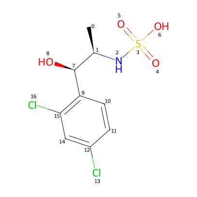 C[C@@H](NS(=O)(=O)O)[C@H](O)c1ccc(Cl)cc1Cl